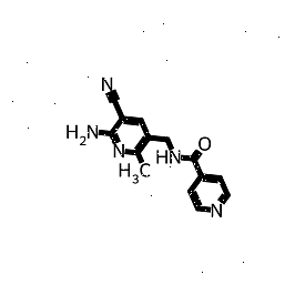 Cc1nc(N)c(C#N)cc1CNC(=O)c1ccncc1